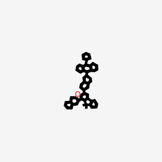 CC1(C)c2ccccc2-c2cc(-c3ccc4cc(-c5c6ccccc6c(-c6ccccc6)c6ccccc56)ccc4c3)c3oc4cc5ccccc5cc4c3c21